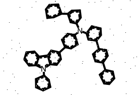 c1ccc(-c2ccc(-c3cccc(N(c4ccc(-c5ccc6c(c5)c5ccccc5n6-c5ccccc5)cc4)c4cccc(-c5ccccc5)c4)c3)cc2)cc1